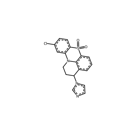 O=S1(=O)c2ccc(Cl)cc2N2CCC(n3ccnc3)c3cccc1c32